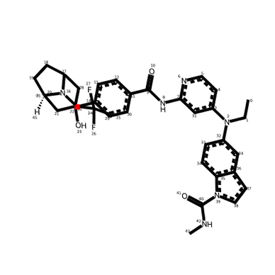 CCN(c1ccnc(NC(=O)c2ccc(CN3C4CC[C@@H]3CC(O)(C(F)(F)F)C4)cc2)c1)c1ccc2c(ccn2C(=O)NC)c1